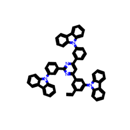 C=Cc1cc(-c2cc(-c3cccc(-n4c5ccccc5c5ccccc54)c3)nc(-c3cccc(-n4c5ccccc5c5ccccc54)c3)n2)cc(-n2c3ccccc3c3ccccc32)c1